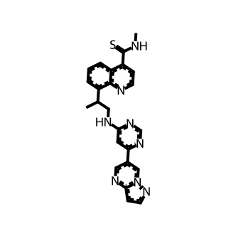 CNC(=S)c1ccnc2c(C(C)CNc3cc(-c4cnc5ccnn5c4)ncn3)cccc12